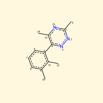 Cc1nnc(-c2cccc(C)c2C)c(C)n1